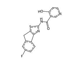 O=C(Nc1nc2c(s1)Cc1cc(F)ccc1-2)c1cnccc1O